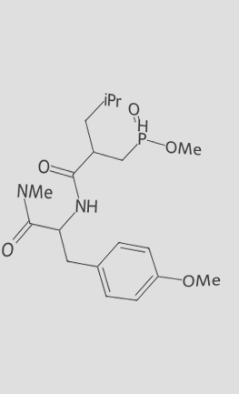 CNC(=O)C(Cc1ccc(OC)cc1)NC(=O)C(CC(C)C)C[PH](=O)OC